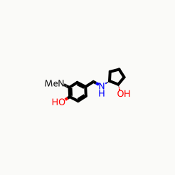 CNc1cc(CN[C@@H]2CCC[C@@H]2O)ccc1O